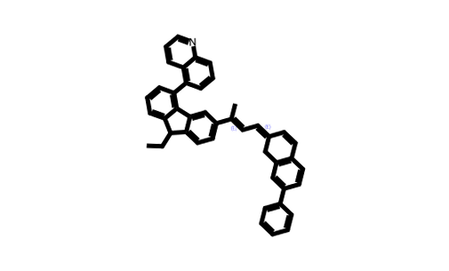 CCC1c2ccc(/C(C)=C/C=C3/C=Cc4ccc(-c5ccccc5)cc4C3)cc2-c2c(-c3cccc4ncccc34)cccc21